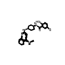 CN(C)c1cc(NC2CCC(NC(=O)c3cc(Cl)ccc3O)CC2)nc2ccccc12